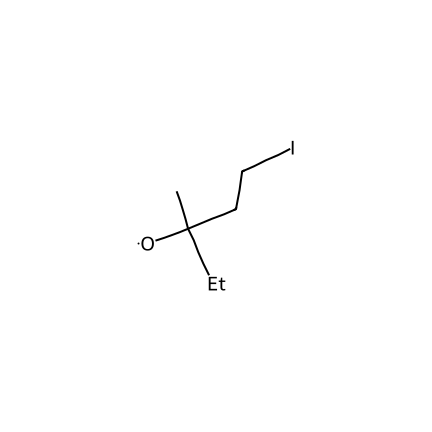 CCC(C)([O])CCI